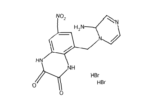 Br.Br.NC1C=NC=CN1Cc1cc([N+](=O)[O-])cc2[nH]c(=O)c(=O)[nH]c12